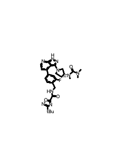 CN(C)C(=O)N(C)[C@@H]1CCN(c2n[nH]c3nccc(-c4ccc(CNC(=O)c5nc(C(C)(C)C)no5)c(F)c4)c23)C1